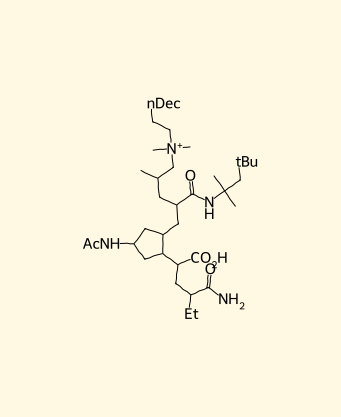 CCCCCCCCCCCC[N+](C)(C)CC(C)CC(CC1CC(NC(C)=O)CC1C(CC(CC)C(N)=O)C(=O)O)C(=O)NC(C)(C)CC(C)(C)C